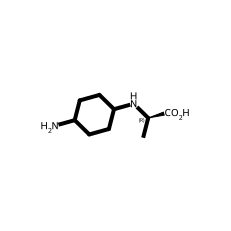 C[C@@H](NC1CCC(N)CC1)C(=O)O